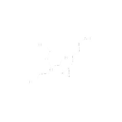 C1CC1.CCCCN.CCO[SiH](CC)OCC